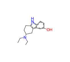 CCN(CC)C1CCc2[nH]c3ccc(O)cc3c2C1